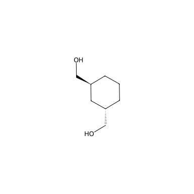 OC[C@H]1CCC[C@H](CO)C1